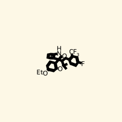 CCOc1ccc2c(c1)OC(C)(C)C(Cc1ccc(F)cc1C(F)(F)F)C21C(=O)Nc2ccccc21